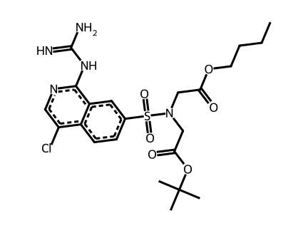 CCCCOC(=O)CN(CC(=O)OC(C)(C)C)S(=O)(=O)c1ccc2c(Cl)cnc(NC(=N)N)c2c1